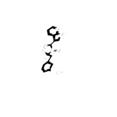 COc1cccc(CC2(N)NNC(c3c[nH]c4ncccc34)N2N)c1